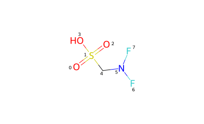 O=S(=O)(O)CN(F)F